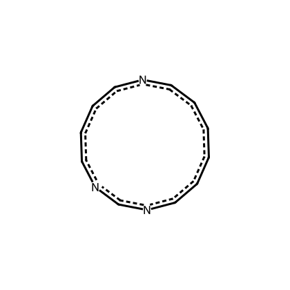 c1cccncnccccncc1